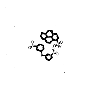 O=S(=O)([O-])c1ccc2ccc3cccc4ccc1c2c34.O=[N+]([O-])c1cccc([I+]c2cccc([N+](=O)[O-])c2)c1